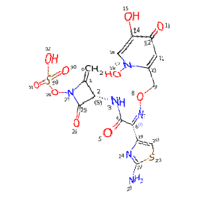 C=C1[C@H](NC(=O)/C(=N\OCc2cc(=O)c(O)cn2O)c2csc(N)n2)C(=O)N1OS(=O)(=O)O